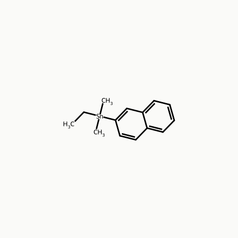 C[CH2][Sn]([CH3])([CH3])[c]1ccc2ccccc2c1